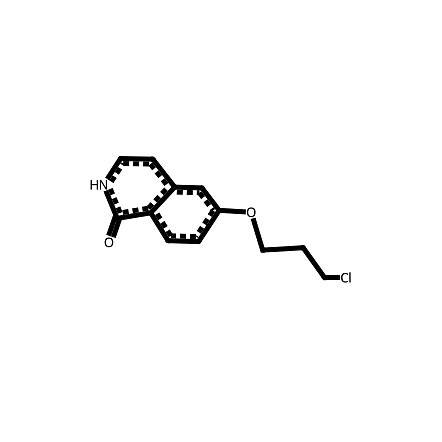 O=c1[nH]ccc2cc(OCCCCl)ccc12